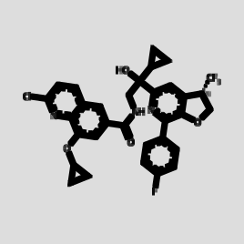 O=C(NCC(O)(c1cc2c(c(-c3ccc(F)cc3)n1)OC[C@H]2C(F)(F)F)C1CC1)c1cc(OC2CC2)c2nc(Cl)ccc2c1